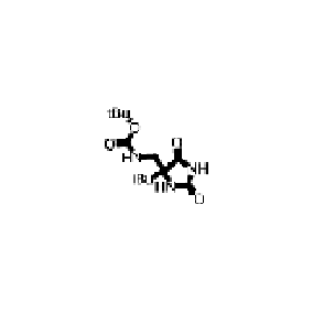 CCC(C)C1(CNC(=O)OC(C)(C)C)NC(=O)NC1=O